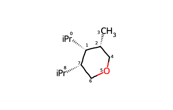 CC(C)[C@@H]1[C@H](C)COC[C@@H]1C(C)C